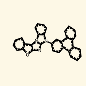 c1ccc2c(c1)oc1nc3n(-c4ccc5c6ccccc6c6ccccc6c5c4)c4ccccc4n3c12